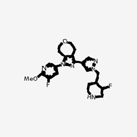 COc1ncc(-n2nc(-c3cnn(CC4CCNCC4F)c3)c3c2CCOCC3)cc1F